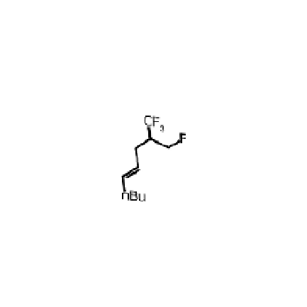 CCCCC=CCC(CF)C(F)(F)F